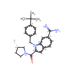 CC(C)(C)c1ccc(Cn2c(C(=O)N3CC[C@H](F)C3)cc3ccc(C(=N)N)cc32)cc1